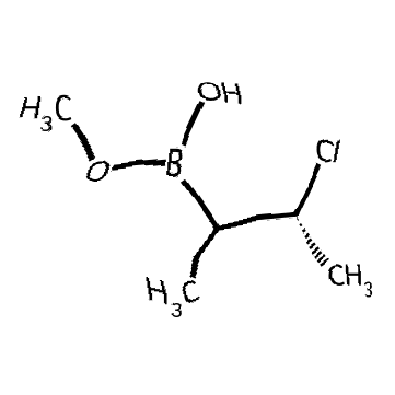 COB(O)C(C)[C@@H](C)Cl